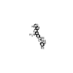 CCN1CC[C@H](NC(=O)Nc2cc3cc(-c4cnc5c(c4C)NCCO5)c(F)c(N)c3cn2)[C@H](F)C1